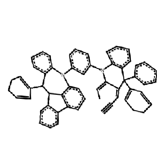 C#C/C=C1\C(=C/C)N(c2cccc(N3c4ccccc4C(C4=CCCC=C4)C4c5ccccc5-c5cccc3c54)c2)c2ccccc2C1(C1=CCCC=C1)c1ccccc1